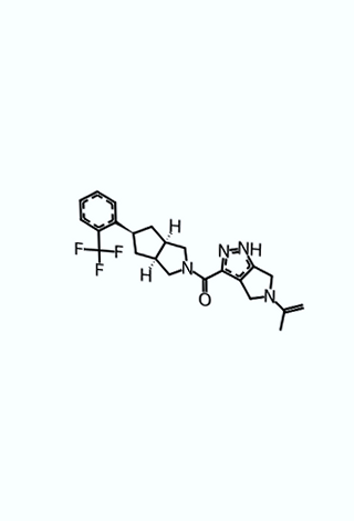 C=C(C)N1Cc2[nH]nc(C(=O)N3C[C@H]4C[C@@H](c5ccccc5C(F)(F)F)C[C@H]4C3)c2C1